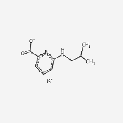 CC(C)CNc1cccc(C(=O)[O-])n1.[K+]